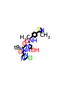 Cc1ncsc1-c1ccc([C@H](C)NC(=O)[C@@H]2C[C@@H](O)CN2C(=O)[C@@H](NC(=O)c2cncc(Cl)n2)C(C)(C)C)cc1